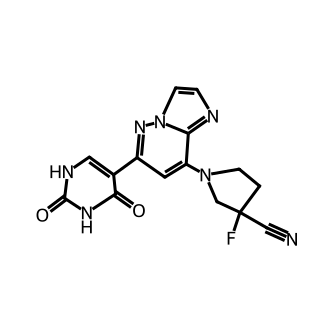 N#CC1(F)CCN(c2cc(-c3c[nH]c(=O)[nH]c3=O)nn3ccnc23)C1